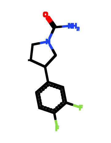 NC(=O)N1C[CH]C(c2ccc(F)c(F)c2)C1